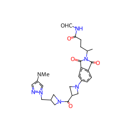 CNc1cnn(CC2CN(C(=O)C3CN(c4ccc5c(c4)C(=O)N(C(C)CCC(=O)NC=O)C5=O)C3)C2)c1